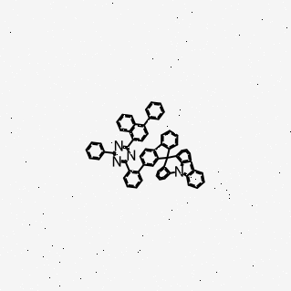 c1ccc(-c2nc(-c3ccccc3-c3ccc4c(c3)C3(c5ccccc5-4)c4ccccc4-n4c5ccccc5c5cccc3c54)nc(-c3ccc(-c4ccccc4)c4ccccc34)n2)cc1